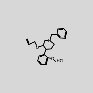 C=CCOC1CN(Cc2ccccc2)CCC1c1ccccc1OC.Cl